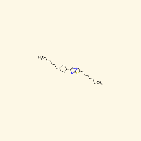 CCCCCCCc1cn2cc([C@H]3CC[C@H](CCCCCCC)CC3)nc2s1